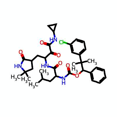 CC(C)CC(NC(=O)OC(c1ccccc1)C(C)(C)c1cccc(Cl)c1)C(=O)NC(CC1CC(C)(C)NC1=O)C(=O)C(=O)NC1CC1